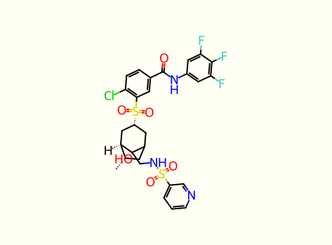 C[C@H]1CC2C[C@@H](S(=O)(=O)c3cc(C(=O)Nc4cc(F)c(F)c(F)c4)ccc3Cl)C[C@H]1[C@@]2(O)CNS(=O)(=O)c1cccnc1